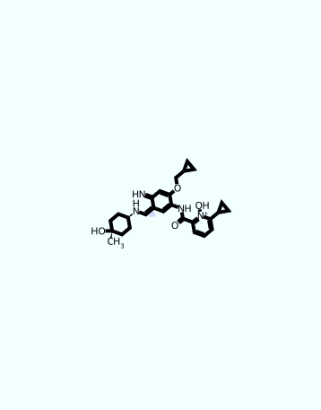 C[C@]1(O)CC[C@H](N/C=C2/C=C(NC(=O)c3cccc(C4CC4)[n+]3O)C(OCC3CC3)=CC2=N)CC1